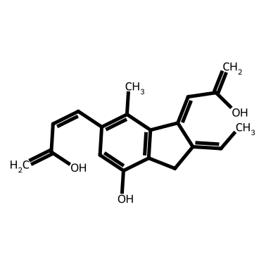 C=C(O)/C=C\c1cc(O)c2c(c1C)C(=C/C(=C)O)/C(=C\C)C2